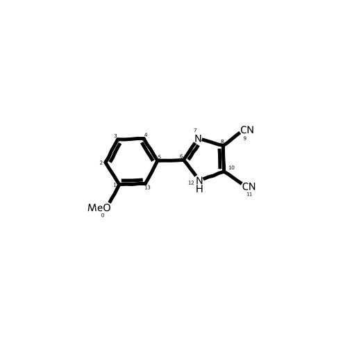 COc1cccc(-c2nc(C#N)c(C#N)[nH]2)c1